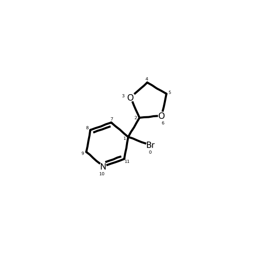 BrC1(C2OCCO2)C=CCN=C1